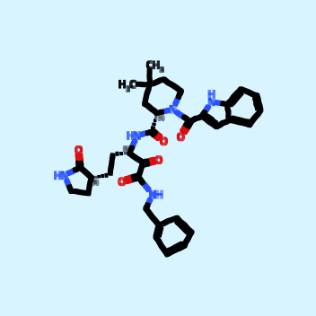 CC1(C)CCN(C(=O)c2cc3ccccc3[nH]2)[C@H](C(=O)N[C@@H](CC[C@@H]2CCNC2=O)C(=O)C(=O)NCc2ccccc2)C1